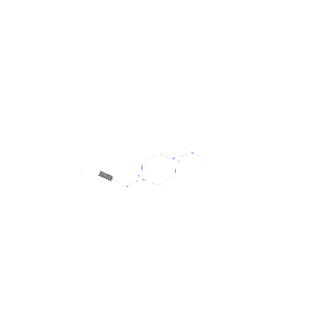 C#CCN1CCN(NC(=O)OCC)CC1